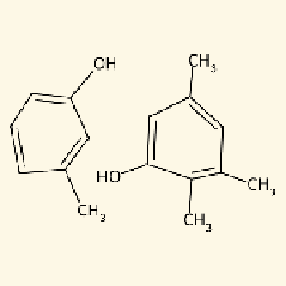 Cc1cc(C)c(C)c(O)c1.Cc1cccc(O)c1